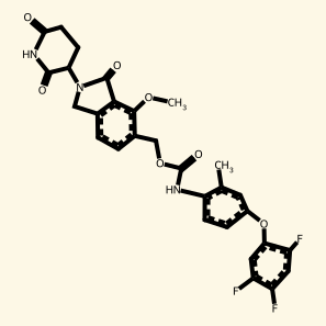 COc1c(COC(=O)Nc2ccc(Oc3cc(F)c(F)cc3F)cc2C)ccc2c1C(=O)N(C1CCC(=O)NC1=O)C2